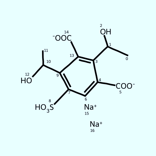 CC(O)c1c(C(=O)[O-])cc(S(=O)(=O)O)c(C(C)O)c1C(=O)[O-].[Na+].[Na+]